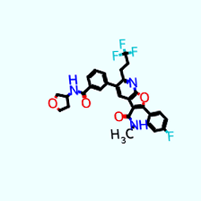 CNC(=O)c1c(-c2ccc(F)cc2)oc2nc(CCC(F)(F)F)c(-c3cccc(C(=O)NC4CCOC4)c3)cc12